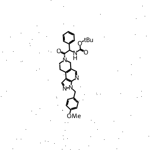 COc1ccc(Cn2ncc3c4c(cnc32)CN(C(=O)C(NC(=O)OC(C)(C)C)c2ccccc2)CC4)cc1